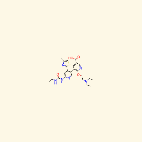 CCNC(=O)Nc1cc(-c2nc(C)cs2)c(-c2cc(C(=O)O)cnc2OCCN(CC)CC)cn1